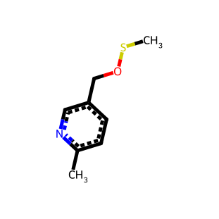 CSOCc1ccc(C)nc1